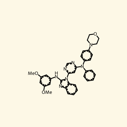 COc1cc(Nc2nc3ccccc3n2-c2cc(N(c3ccccc3)c3ccc(N4CCOCC4)cc3)ncn2)cc(OC)c1